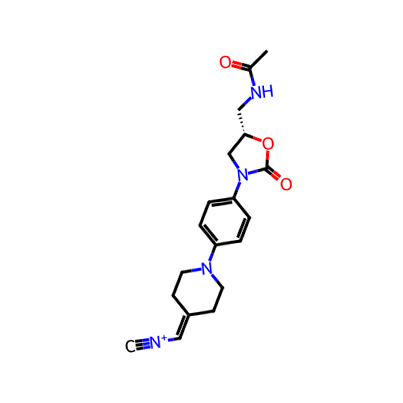 [C-]#[N+]C=C1CCN(c2ccc(N3C[C@H](CNC(C)=O)OC3=O)cc2)CC1